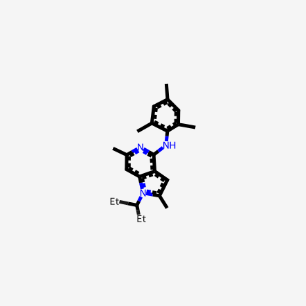 CCC(CC)n1c(C)cc2c(Nc3c(C)cc(C)cc3C)nc(C)cc21